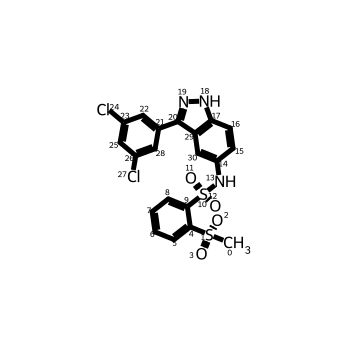 CS(=O)(=O)c1ccccc1S(=O)(=O)Nc1ccc2[nH]nc(-c3cc(Cl)cc(Cl)c3)c2c1